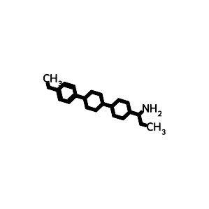 CCc1ccc(C2CCC(C3CCC(C(N)CC)CC3)CC2)cc1